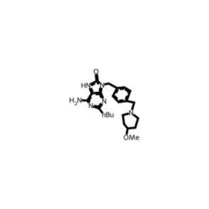 CCCCc1nc(N)c2[nH]c(=O)n(Cc3ccc(CN4CCC(OC)CC4)cc3)c2n1